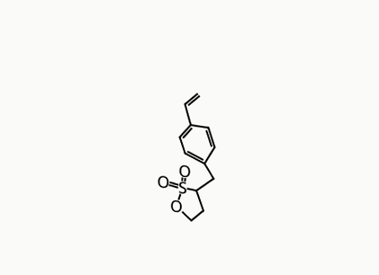 C=Cc1ccc(CC2CCOS2(=O)=O)cc1